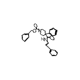 O=C(OCc1ccccc1)N1CCC(C(=O)NCCc2ccccc2)(c2ccccc2)CC1